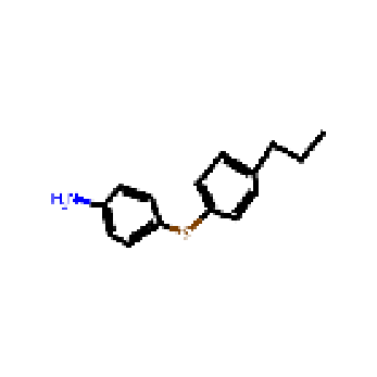 CCCc1ccc(Sc2ccc(N)cc2)cc1